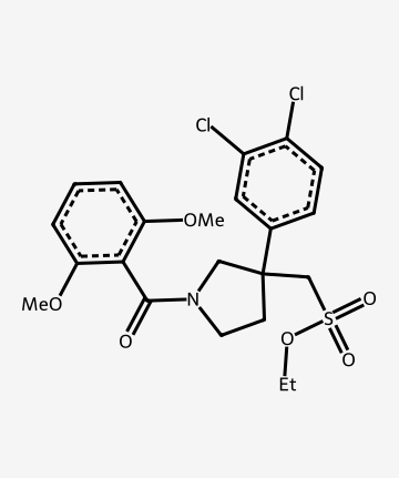 CCOS(=O)(=O)CC1(c2ccc(Cl)c(Cl)c2)CCN(C(=O)c2c(OC)cccc2OC)C1